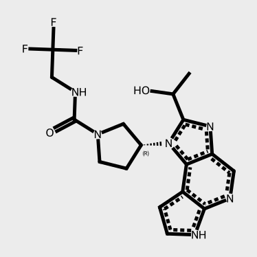 CC(O)c1nc2cnc3[nH]ccc3c2n1[C@@H]1CCN(C(=O)NCC(F)(F)F)C1